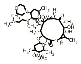 CO[C@]1(C)C[C@H](O[C@H]2[C@H](C)[C@@H](O[C@@H]3O[C@H](C)C[C@@H](N4CCOCC4)[C@@H]3N(C)CCN(C)C)[C@@](C)(OC)C[C@@H](C)C(=O)[C@H](C)[C@@H](O)[C@@]3(O)C(C)[C@H]3OC(=O)[C@@H]2C)O[C@@H](C)[C@@H]1OC(C)=O